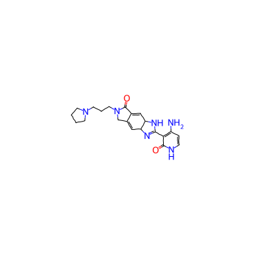 Nc1cc[nH]c(=O)c1C1=NC2C=C3CN(CCCN4CCCC4)C(=O)C3=CC2N1